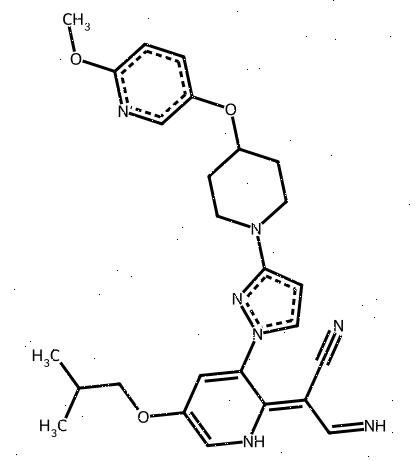 COc1ccc(OC2CCN(c3ccn(C4=CC(OCC(C)C)=CN/C4=C(/C#N)C=N)n3)CC2)cn1